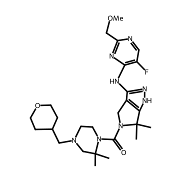 COCc1ncc(F)c(Nc2n[nH]c3c2CN(C(=O)N2CCN(CC4CCOCC4)CC2(C)C)C3(C)C)n1